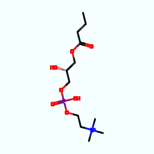 CCCC(=O)OC[C@@H](O)COP(=O)(O)OCC[N+](C)(C)C